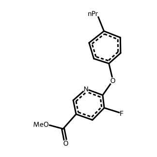 CCCc1ccc(Oc2ncc(C(=O)OC)cc2F)cc1